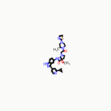 COC1(C(=O)Nc2ccc3[nH]nc(-c4ccnc(C5CC5)c4)c3c2)CCN(CC(=O)N2CCN(c3nccs3)C[C@H]2C)C1